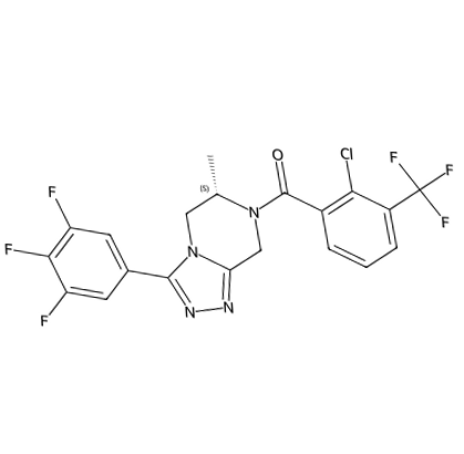 C[C@H]1Cn2c(nnc2-c2cc(F)c(F)c(F)c2)CN1C(=O)c1cccc(C(F)(F)F)c1Cl